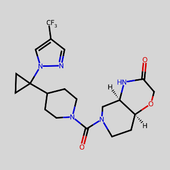 O=C1CO[C@H]2CCN(C(=O)N3CCC(C4(n5cc(C(F)(F)F)cn5)CC4)CC3)C[C@H]2N1